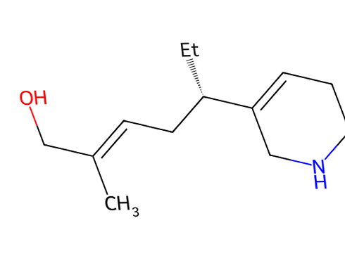 CC[C@@H](C/C=C(\C)CO)C1=CCCNC1